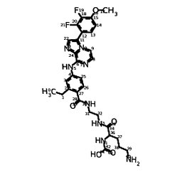 CCc1cc(Nc2nccn3c(-c4ccc(OC)c(F)c4F)cnc23)ccc1C(=O)NCCNC(=O)C(CCCN)NC(=O)O